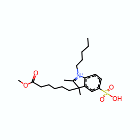 CCCCC[N+]1=C(C)C(C)(CCCCCC(=O)OC)c2cc(S(=O)(=O)O)ccc21